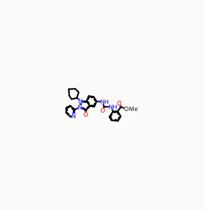 COC(=O)c1ccccc1NC(=O)Nc1ccc2c(c1)c(=O)n(-c1ccccn1)n2C1CCCCC1